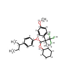 CCC(C)c1ccc(OC(OC2CCCCC2)C(C)(c2ccc(OC)cc2)C(F)(F)F)cc1